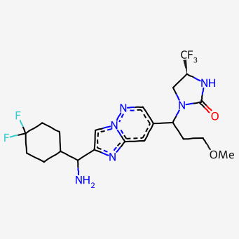 COCCC(c1cnn2cc(C(N)C3CCC(F)(F)CC3)nc2c1)N1C[C@@H](C(F)(F)F)NC1=O